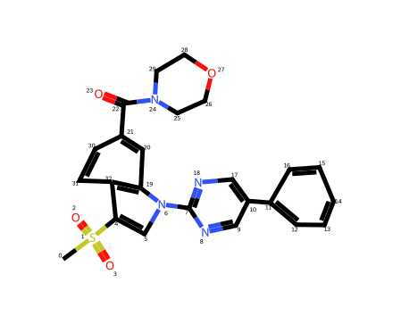 CS(=O)(=O)c1cn(-c2ncc(-c3ccccc3)cn2)c2cc(C(=O)N3CCOCC3)ccc12